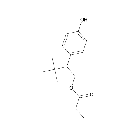 CCC(=O)OCC(c1ccc(O)cc1)C(C)(C)C